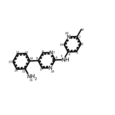 Cc1ccc(Nc2ncc(-c3ccccc3N)cn2)cn1